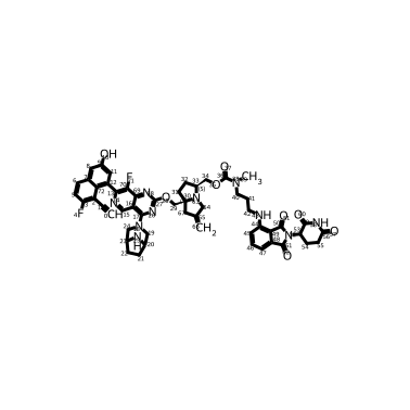 C#Cc1c(F)ccc2cc(O)cc(-c3ncc4c(N5CC6CCC(C5)N6)nc(OC[C@@]56CC[C@@H](COC(=O)N(C)CCCNc7cccc8c7C(=O)N(C7CCC(=O)NC7=O)C8=O)N5CC(=C)C6)nc4c3F)c12